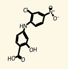 O=C(O)c1ccc(Nc2ccc([N+](=O)[O-])cc2Cl)cc1O